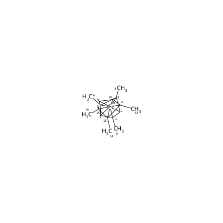 C[C]12[CH]3[C]4(C)[C]5(C)[CH]1[Fe]32451678[CH]2[CH]1[C]6(C)[C]7(C)[C]28C